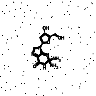 NC1(N)N=C2C(=NCN2[C@H]2C[C@H](O)[C@@H](CO)O2)C(=O)N1